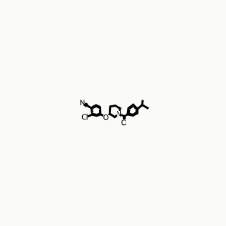 CC(C)c1ccc(C(=O)N2CCCC(Oc3ccc(C#N)c(Cl)c3)C2)cc1